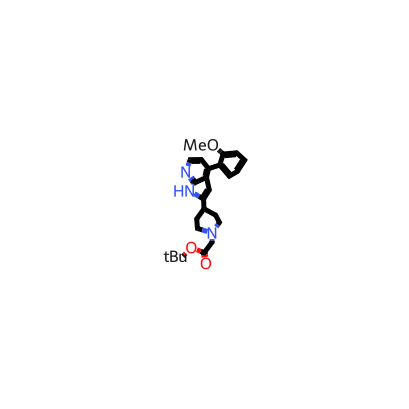 COc1ccccc1-c1ccnc2[nH]c(C3CCN(CC(=O)OC(C)(C)C)CC3)cc12